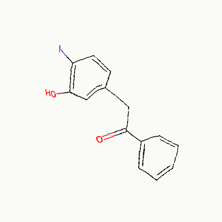 O=C(Cc1ccc(I)c(O)c1)c1ccccc1